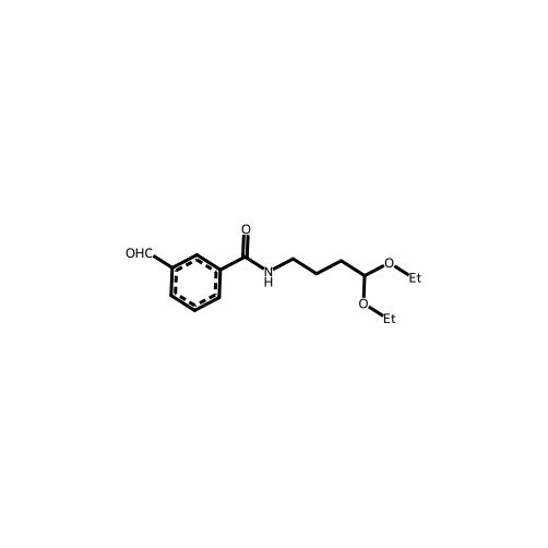 CCOC(CCCNC(=O)c1cccc(C=O)c1)OCC